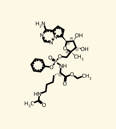 CCOC(=O)[C@H](CCCCNC(C)=O)NP(=O)(OC[C@@]1(C)O[C@@H](c2ccc3c(N)ncnn23)[C@H](O)[C@@H]1O)Oc1ccccc1